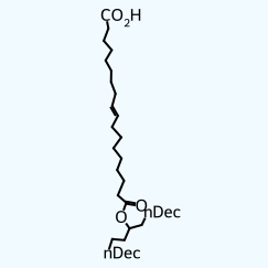 CCCCCCCCCCCCC(CCCCCCCCCCC)OC(=O)CCCCCCCC=CCCCCCCCC(=O)O